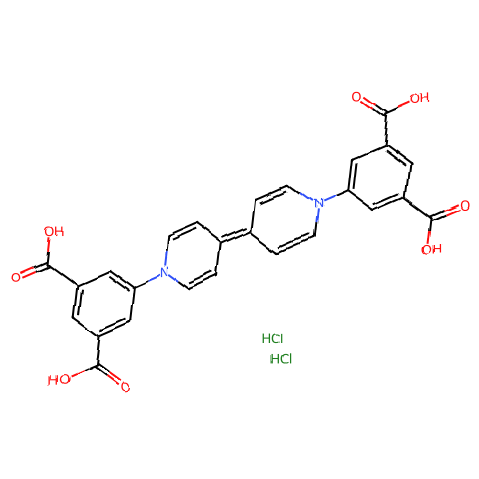 Cl.Cl.O=C(O)c1cc(C(=O)O)cc(N2C=CC(=C3C=CN(c4cc(C(=O)O)cc(C(=O)O)c4)C=C3)C=C2)c1